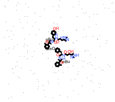 CCCCOC1(c2ccccc2C)CN(C(=O)C(Cc2ccc(O)cc2)NC(=O)CCc2cnc[nH]2)C1.CCCCOC1(c2ccccc2C)CN(C(=O)[C@@H](Cc2ccc(OC)cc2)NC(=O)CC(O)c2c[nH]cn2)C1